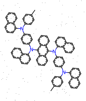 Cc1ccc(N(c2ccc(N(c3cccc4ccccc34)c3c4ccccc4c(N(c4ccc(N(c5ccc(C)cc5)c5cccc6ccccc56)cc4)c4cccc5ccccc45)c4ccccc34)cc2)c2cccc3ccccc23)cc1